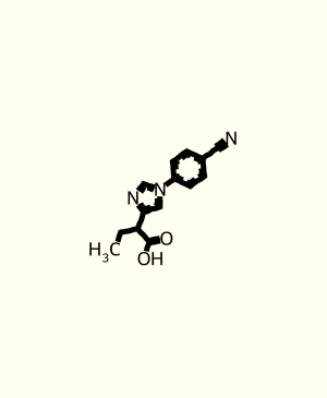 CCC(C(=O)O)c1cn(-c2ccc(C#N)cc2)cn1